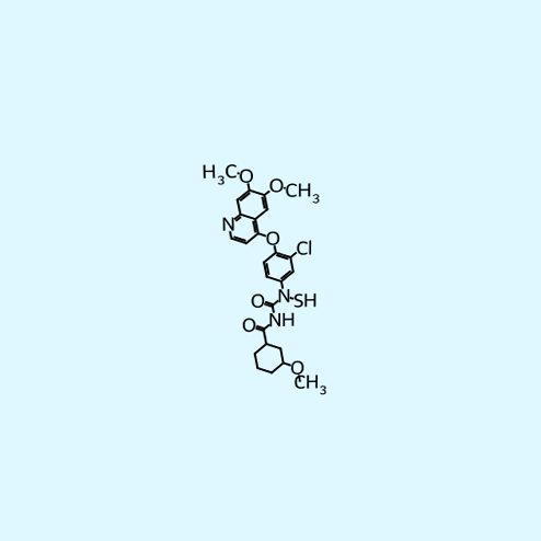 COc1cc2nccc(Oc3ccc(N(S)C(=O)NC(=O)C4CCCC(OC)C4)cc3Cl)c2cc1OC